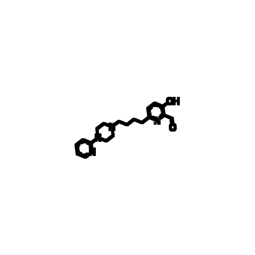 O=Cc1nc(CCCCN2CCN(c3ccccn3)CC2)ccc1O